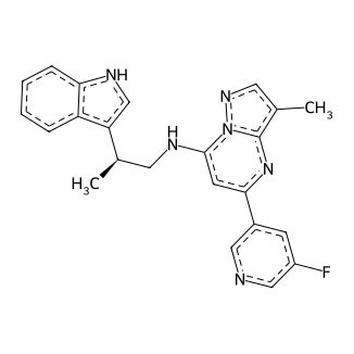 Cc1cnn2c(NC[C@@H](C)c3c[nH]c4ccccc34)cc(-c3cncc(F)c3)nc12